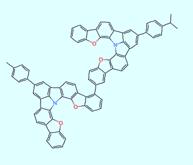 Cc1ccc(-c2cc3c4ccc5c6ccccc6oc5c4n4c3c(c2)c2ccc3c(oc5cccc(-c6ccc7oc8c(ccc9c%10cc(-c%11ccc(C(C)C)cc%11)cc%11c%12ccc%13c%14ccccc%14oc%13c%12n(c%11%10)c98)c7c6)c53)c24)cc1